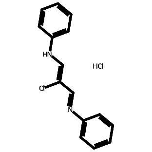 Cl.ClC(C=Nc1ccccc1)=CNc1ccccc1